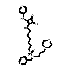 O=c1c(NCCCCCCS(=O)(=O)N(CCCN2CCOCC2)Cc2cccnc2)c(Nc2ccncc2)c1=O